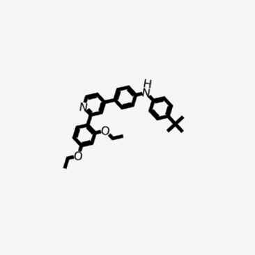 CCOc1ccc(-c2cc(-c3ccc(Nc4ccc(C(C)(C)C)cc4)cc3)ccn2)c(OCC)c1